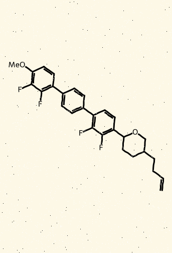 C=CCCC1CCC(c2ccc(-c3ccc(-c4ccc(OC)c(F)c4F)cc3)c(F)c2F)OC1